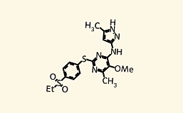 CCS(=O)(=O)c1ccc(Sc2nc(C)c(OC)c(Nc3cc(C)[nH]n3)n2)cc1